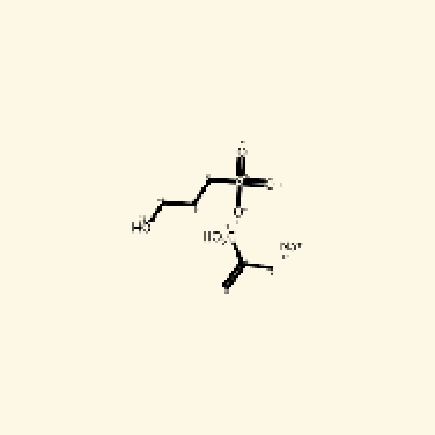 C=C(C)C(=O)O.O=S(=O)([O-])CCCO.[Na+]